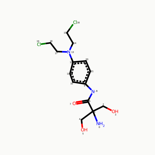 NC(CO)(CO)C(=O)[N]c1ccc(N(CCCl)CCCl)cc1